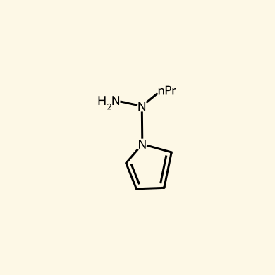 CCCN(N)n1cccc1